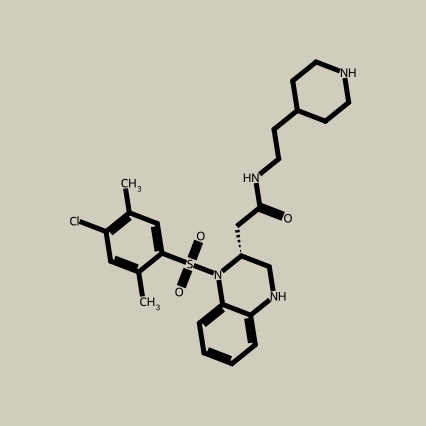 Cc1cc(S(=O)(=O)N2c3ccccc3NC[C@H]2CC(=O)NCCC2CCNCC2)c(C)cc1Cl